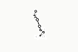 CC(C)(C)OC(=O)N1CCC[C@H]1c1ncc(-c2ccc(C#Cc3ccc4cc(-c5cnc(C6CCCC6)[nH]5)cnc4c3)cc2)[nH]1